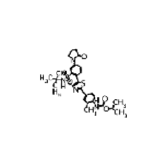 Cc1cc(-c2ncc(-c3ccc(N4CCCC4=O)cc3S(=O)(=O)NC(C)(C)C)s2)ccc1NC(=O)OC(C)C